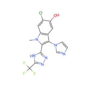 Cn1c(-c2nnc(C(F)(F)F)[nH]2)c(-n2ccnc2)c2cc(O)c(Cl)cc21